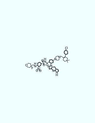 CC1(C)CCC(CN2CCN(c3ccc(C(=O)NS(=O)(=O)c4ccc(NCC5(F)CCOCC5)c([N+](=O)[O-])c4)c(-n4ncc5nc6[nH]ccc6cc54)c3)CC2)=C(c2ccc(Cl)cc2)C1